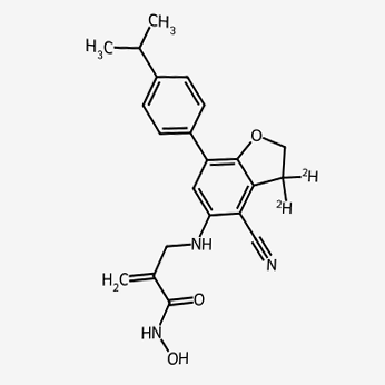 [2H]C1([2H])COc2c(-c3ccc(C(C)C)cc3)cc(NCC(=C)C(=O)NO)c(C#N)c21